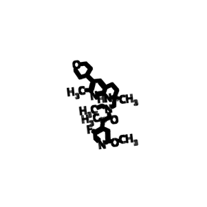 CCN(C[C@@]1(C)CCc2cc(C3CCOCC3)c(C)nc2N1)C(=O)[C@H](C)c1cc(OC)ncc1F